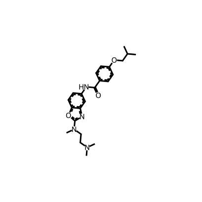 CC(C)COc1ccc(C(=O)Nc2ccc3oc(N(C)CCN(C)C)nc3c2)cc1